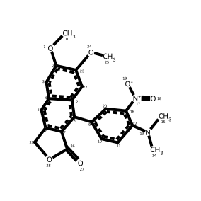 COc1cc2cc3c(c(-c4ccc(N(C)C)c([N+](=O)[O-])c4)c2cc1OC)C(=O)OC3